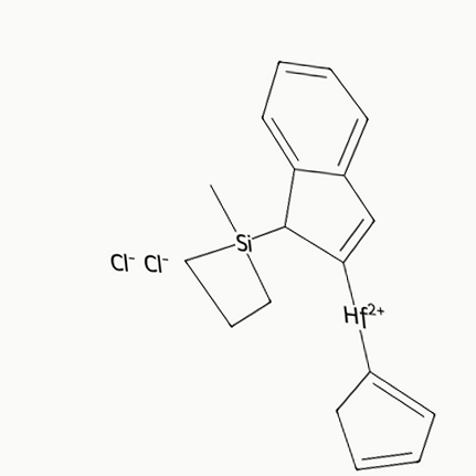 C[Si]1(C2[C]([Hf+2][C]3=CC=CC3)=Cc3ccccc32)CCC1.[Cl-].[Cl-]